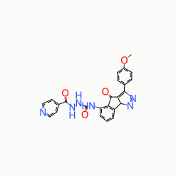 COc1ccc(C2=C3C(=O)c4c(NC(=O)NNC(=O)c5ccncc5)cccc4C3N=N2)cc1